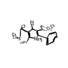 CCCC1=C(C(=O)SCC)C(CC)C(C(=O)OCC)=C(c2ccccc2)N1